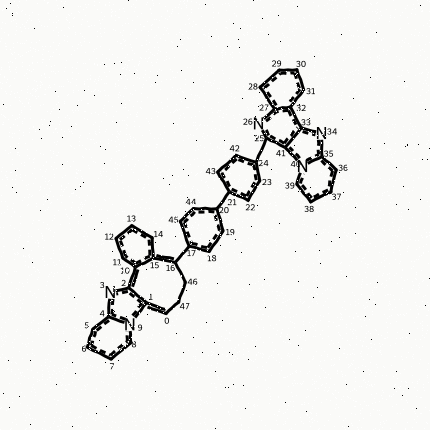 C1=c2/c(nc3ccccn23)=c2/cccc/c2=C(\c2ccc(-c3ccc(-c4nc5ccccc5c5nc6ccccn6c45)cc3)cc2)CC\1